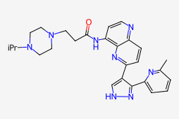 Cc1cccc(-c2n[nH]cc2-c2ccc3nccc(NC(=O)CCN4CCN(C(C)C)CC4)c3n2)n1